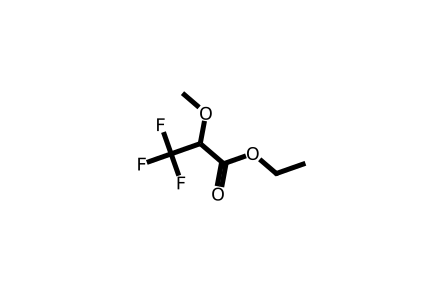 CCOC(=O)C(OC)C(F)(F)F